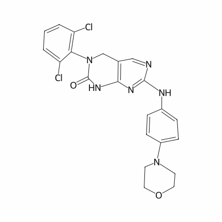 O=C1Nc2nc(Nc3ccc(N4CCOCC4)cc3)ncc2CN1c1c(Cl)cccc1Cl